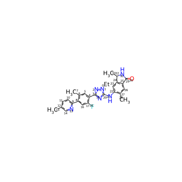 CCn1nc(-c2cc(C)c(-c3ccc(C)cn3)cc2F)nc1Nc1cc2c(cc1C)C(=O)NC2C